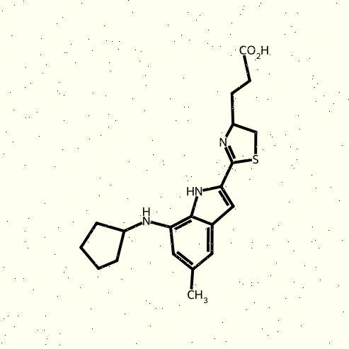 Cc1cc(NC2CCCC2)c2[nH]c(C3=NC(CCC(=O)O)CS3)cc2c1